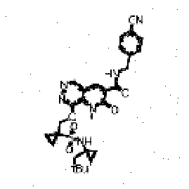 Cn1c(=O)c(C(=O)NCc2ccc(C#N)cc2)cc2cnnc(OCC3(S(=O)(=O)NC4(CC(C)(C)C)CC4)CC3)c21